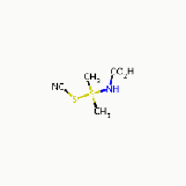 CS(C)(NC(=O)O)SC#N